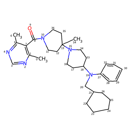 Cc1ncnc(C)c1C(=O)N1CCC(C)(N2CCC(N(CC3CCCCC3)c3ccccc3)CC2)CC1